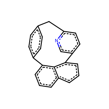 c1cc2c3c(cccc3c1)-c1ccc(nc1)Cc1ccc-2cc1